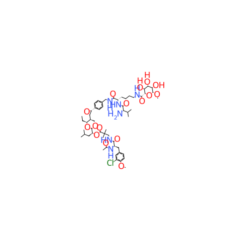 CC[C@H](OC(=O)[C@H](CC(C)C)OC(=O)C(C)(C)CNC(=O)[C@@H](Cc1ccc(OC)c(Cl)c1)NC(C)=O)[C@H](C)[C@H]1O[C@@H]1c1ccc(CNC(=O)[C@H](CCCCNC(=O)[C@H]2O[C@@H](OC)[C@H](O)[C@@H](O)[C@@H]2O)NC(=O)[C@@H](N)C(C)C)cc1